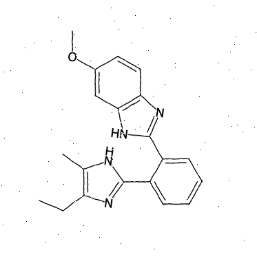 CCc1nc(-c2ccccc2-c2nc3ccc(OC)cc3[nH]2)[nH]c1C